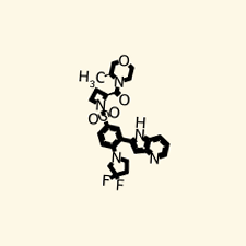 C[C@@H]1COCCN1C(=O)[C@@H]1CCN1S(=O)(=O)c1ccc(N2CCC(F)(F)C2)c(-c2cc3ncccc3[nH]2)c1